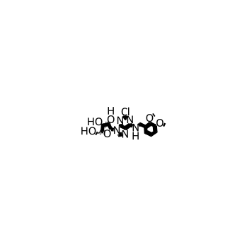 COc1cccc(CNc2nc(Cl)nc3c2ncn3C2O[C@H](CO)[C@@H](O)[C@H]2O)c1OC